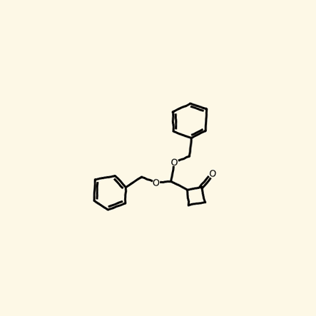 O=C1CCC1C(OCc1ccccc1)OCc1ccccc1